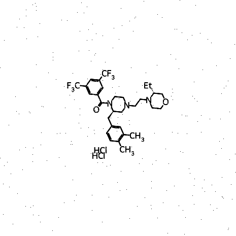 CC[C@@H]1COCCN1CCN1CCN(C(=O)c2cc(C(F)(F)F)cc(C(F)(F)F)c2)[C@H](Cc2ccc(C)c(C)c2)C1.Cl.Cl